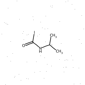 CC(C)NC(=O)I